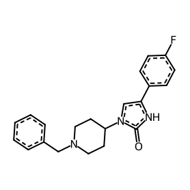 O=c1[nH]c(-c2ccc(F)cc2)cn1C1CCN(Cc2ccccc2)CC1